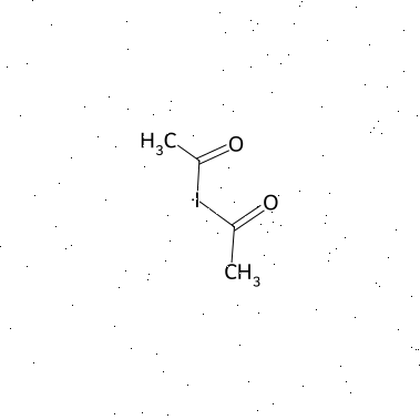 CC(=O)[I]C(C)=O